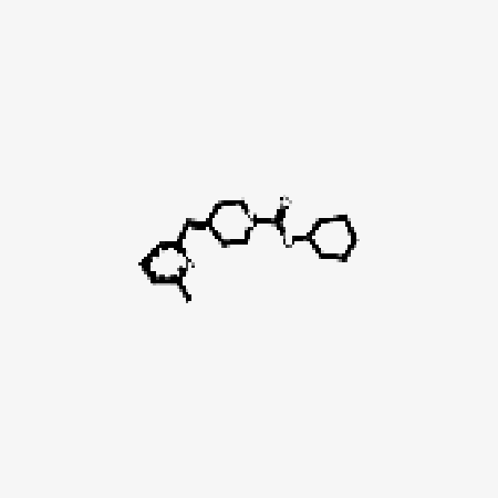 Cc1cccc(C=C2CCN(C(=O)OC3CCCCC3)CC2)n1